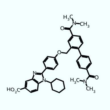 CN(C)C(=O)c1ccc(-c2ccc(C(=O)N(C)C)cc2COc2ccc(-c3nc4cc(C(=O)O)ccc4n3C3CCCCC3)cc2)cc1